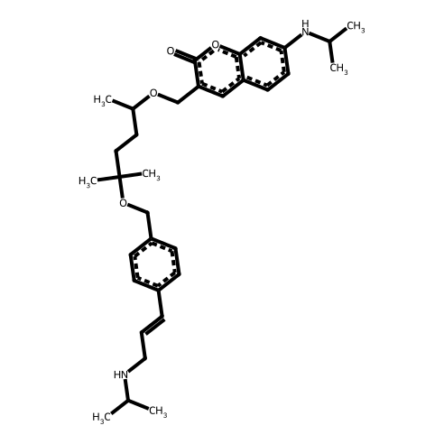 CC(C)NC/C=C/c1ccc(COC(C)(C)CCC(C)OCc2cc3ccc(NC(C)C)cc3oc2=O)cc1